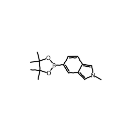 Cn1cc2ccc(B3OC(C)(C)C(C)(C)O3)cc2c1